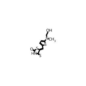 CN(CCO)c1ccc(/C=C2\SC(=O)NC2=S)s1